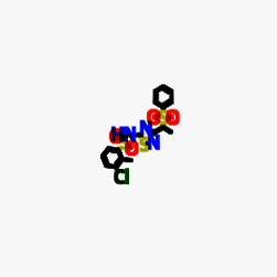 Cc1c(Cl)cccc1S(=O)(=O)Nc1nc(C(C)S(=O)(=O)c2ccccc2)ns1